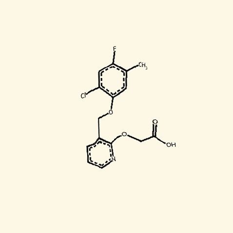 Cc1cc(OCc2cccnc2OCC(=O)O)c(Cl)cc1F